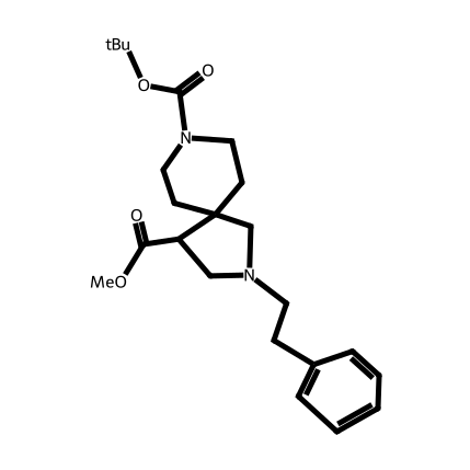 COC(=O)C1CN(CCc2ccccc2)CC12CCN(C(=O)OC(C)(C)C)CC2